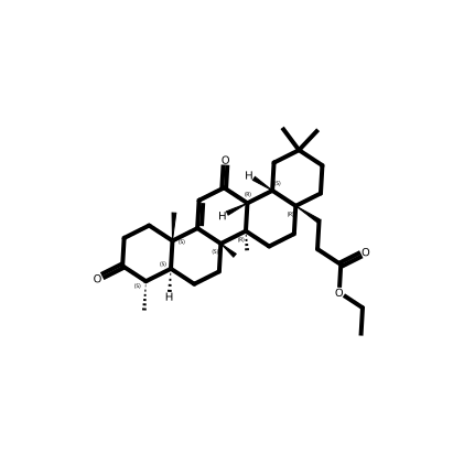 CCOC(=O)CC[C@]12CCC(C)(C)C[C@H]1[C@H]1C(=O)C=C3[C@@]4(C)CCC(=O)[C@@H](C)[C@@H]4CC[C@@]3(C)[C@]1(C)CC2